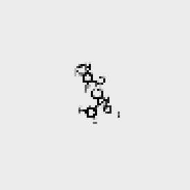 Cn1nc2c(c1-c1cc(F)cc(F)c1)CCN(C(=O)c1cc3nccnc3cc1F)C2